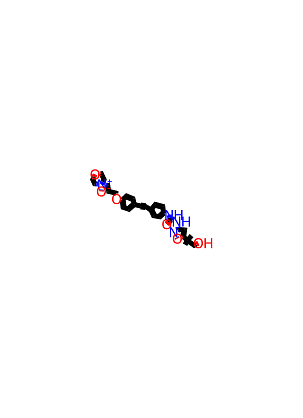 CC(C)(CO)c1cc(NC(=O)Nc2ccc(C#Cc3ccc(OCCC[N+]4([O-])CCOCC4)cc3)cc2)no1